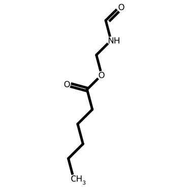 CCCCCC(=O)OCNC=O